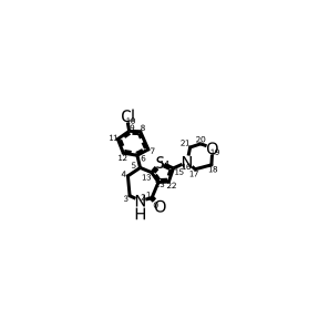 O=C1NCCC(c2ccc(Cl)cc2)c2sc(N3CCOCC3)cc21